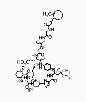 C#CCCCON(C(=O)[C@@H](NC(=O)[C@H]1CCCCN1C)[C@@H](C)CC)[C@H](C[C@@H](OC(C)=O)c1nc(C(=O)N[C@@H](Cc2ccc(NC(=O)[C@H](CCC(=O)O)NC(=O)CNC(=O)CNC(=O)CNC(=O)COC3CCCCC/C=C\3C)cc2)CC(C)(C)C(=O)O)cs1)C(C)C